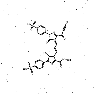 O=C(C#CO)C1=NN(c2ccc(S(=O)(=O)O)cc2)C(=O)/C1=C\C=Cc1c(C(=O)OO)nn(-c2ccc(S(=O)(=O)O)cc2)c1O